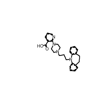 O=C(O)c1cccnc1N1CCN(CCCN2c3ccccc3CCc3ccccc32)CC1